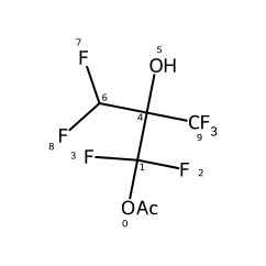 CC(=O)OC(F)(F)C(O)(C(F)F)C(F)(F)F